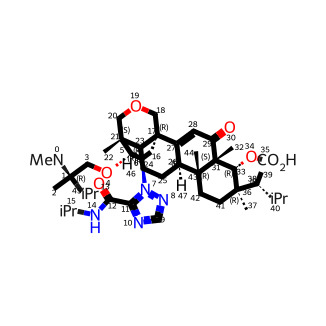 CN[C@@](C)(CO[C@H]1[C@H](n2ncnc2C(=O)NC(C)C)C[C@@]23COC[C@]1(C)[C@@H]2CC[C@H]1C3=CC(=O)[C@]2(C)[C@H](OC(=O)O)[C@@](C)([C@H](C)C(C)C)CC[C@]12C)C(C)C